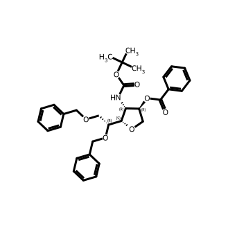 CC(C)(C)OC(=O)N[C@H]1[C@@H]([C@@H](COCc2ccccc2)OCc2ccccc2)OC[C@@H]1OC(=O)c1ccccc1